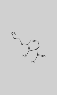 CCCOc1cccc(C(=O)O)c1N